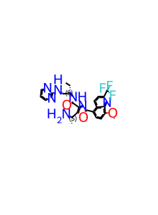 CC[C@@H](CNc1ncccn1)NC(=O)c1nc(-c2ccc(OC)c3nc(C(F)(F)F)ccc23)oc1[C@H](C)N